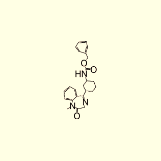 CN1C(=O)CN=C(C2CCCC(NC(=O)OCc3ccccc3)C2)c2ccccc21